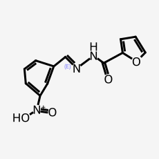 O=C(N/N=C/c1cccc([N+](=O)O)c1)c1ccco1